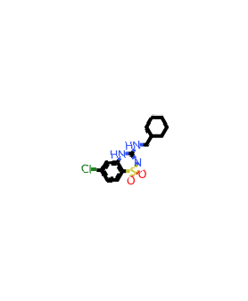 O=S1(=O)N=C(NCC2CCCCC2)Nc2cc(Cl)ccc21